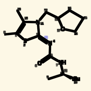 Cc1s/c(=N\C(=O)N[C@H](C)C(C)(C)C)n(CC2CCCO2)c1C